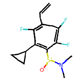 C=Cc1c(F)c(F)c([S+]([O-])N(C)C)c(C2CC2)c1F